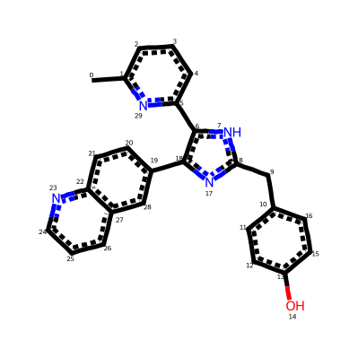 Cc1cccc(-c2[nH]c(Cc3ccc(O)cc3)nc2-c2ccc3ncccc3c2)n1